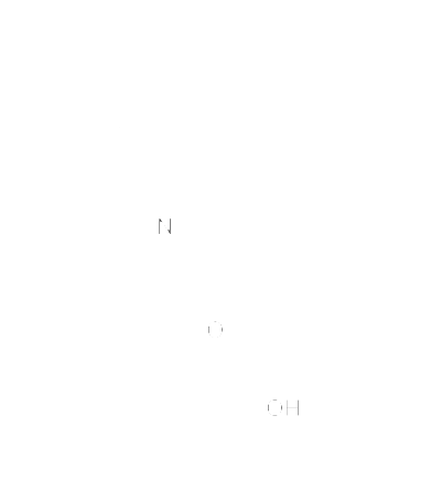 CCCCC(=O)O.CCCN(CCC)CCC